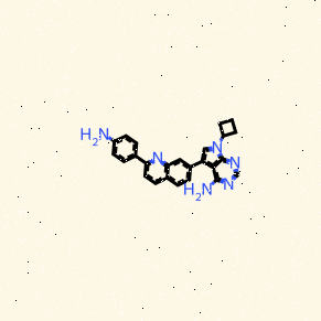 Nc1ccc(-c2ccc3ccc(-c4cn(C5CCC5)c5ncnc(N)c45)cc3n2)cc1